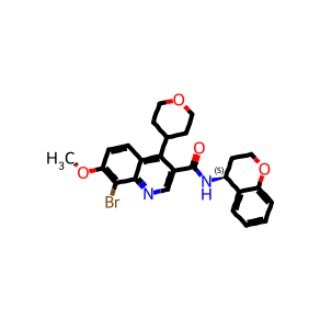 COc1ccc2c(C3CCOCC3)c(C(=O)N[C@H]3CCOc4ccccc43)cnc2c1Br